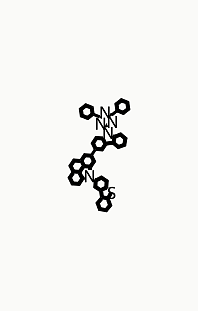 c1ccc(-c2nc(-c3ccccc3)nc(-n3c4ccccc4c4cc(-c5cc6ccc7cccc8c7c6c(c5)n8-c5ccc6sc7ccccc7c6c5)ccc43)n2)cc1